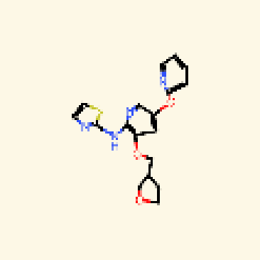 c1ccc(Oc2cnc(Nc3nccs3)c(OCC3CCOC3)c2)nc1